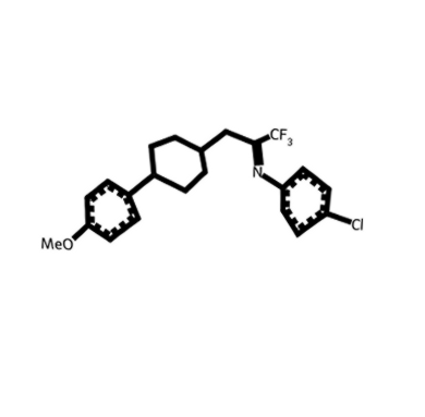 COc1ccc(C2CCC(CC(=Nc3ccc(Cl)cc3)C(F)(F)F)CC2)cc1